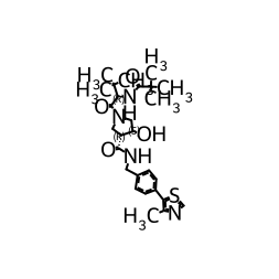 Cc1ncsc1-c1ccc(CNC(=O)[C@@H]2CN(C(=O)[C@H](NC(=O)C(C)(C)C)C(C)(C)C)C[C@H]2O)cc1